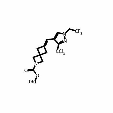 CC(C)(C)OC(=O)N1CC2(CC(=Cc3cn(CC(F)(F)F)nc3C(Cl)(Cl)Cl)C2)C1